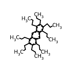 CCCc1c(CCC)c(CCC)c2cc3c(CCC)c(CCC)c(CCC)c(CCC)c3cc2c1CCC